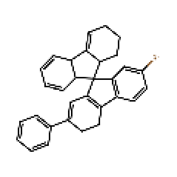 Brc1ccc2c(c1)C1(C3=C2CCC(c2ccccc2)=C3)C2CCCC=C2C2C=CC=CC21